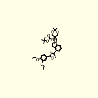 CCOc1ccc(-c2nc(-c3cccc4c3CCN4CC3(NC(=O)OC(C)(C)C)COC(C)(C)OC3)no2)cc1OCC